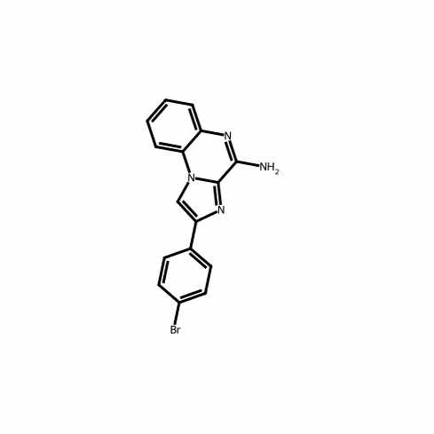 Nc1nc2ccccc2n2cc(-c3ccc(Br)cc3)nc12